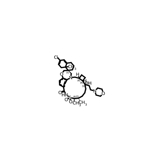 C[C@@H]1[C@@H](C)CCC[C@](O)(CCN2CCOCC2)[C@@H]2CC[C@H]2CN2C[C@@]3(CCCC4=CC(Cl)=CCC43C)COc3ccc(cc32)C(=O)NS1(=O)=O